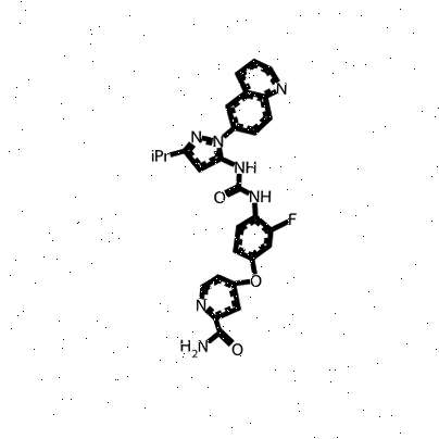 CC(C)c1cc(NC(=O)Nc2ccc(Oc3ccnc(C(N)=O)c3)cc2F)n(-c2ccc3ncccc3c2)n1